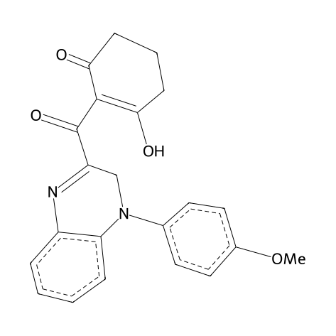 COc1ccc(N2CC(C(=O)C3=C(O)CCCC3=O)=Nc3ccccc32)cc1